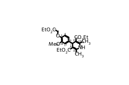 CCOC(=O)COc1ccc(C2C(C(=O)OCC)=C(C)NC(C)=C2C(=O)OCC)cc1OC